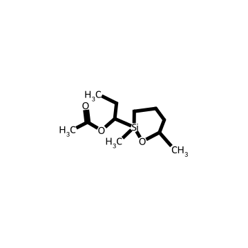 CCC(OC(C)=O)[Si]1(C)CCCC(C)O1